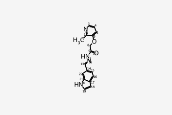 Cc1ncccc1OCC(=O)NN=Cc1ccc2cc[nH]c2c1